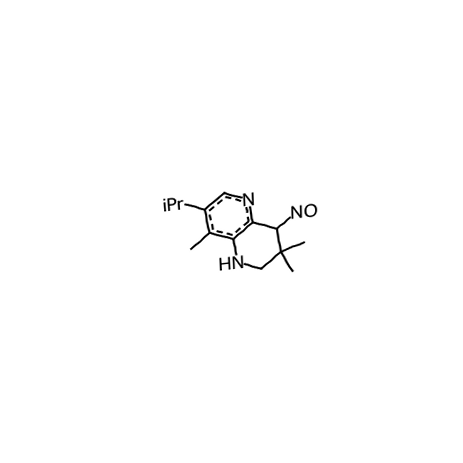 Cc1c(C(C)C)cnc2c1NCC(C)(C)C2N=O